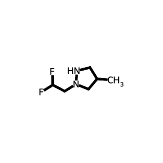 CC1CNN(CC(F)F)C1